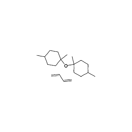 C=CC=C.CC1CCC(C)(OC2(C)CCC(C)CC2)CC1